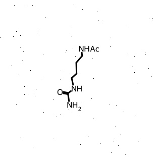 CC(=O)NCCCCNC(N)=O